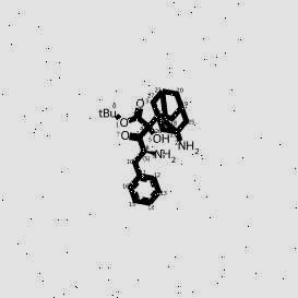 CC(C)(C)OC(=O)C(O)(C(=O)[C@@H](N)Cc1ccccc1)C12CC3CC(CC(N)(C3)C1)C2